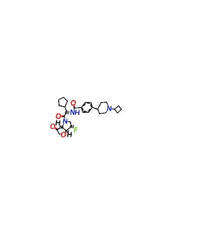 O=C(N[C@H](C(=O)N1C[C@H](F)[C@H]2OCC(=O)[C@H]21)C1CCCC1)c1ccc(C2CCN(C3CCC3)CC2)cc1